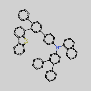 c1ccc(-c2ccc(N(c3ccc(-c4ccc(-c5ccccc5)c(-c5cccc6c5sc5ccccc56)c4)cc3)c3cccc4ccccc34)cc2-c2ccccc2)cc1